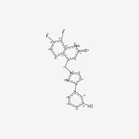 O=c1cc(Cn2ccc(-c3cccc(Cl)c3)n2)c2ccc(F)c(F)c2[nH]1